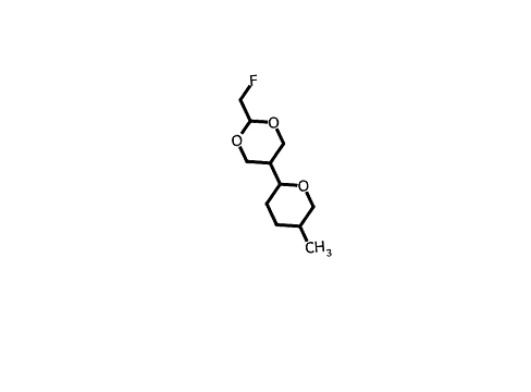 CC1CCC(C2COC(CF)OC2)OC1